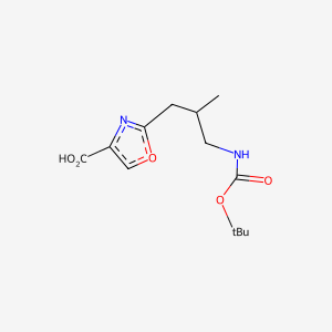 CC(CNC(=O)OC(C)(C)C)Cc1nc(C(=O)O)co1